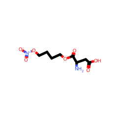 NC(CC(=O)O)C(=O)OCCCCO[N+](=O)[O-]